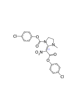 CN1CCN(C(=O)Oc2ccc(Cl)cc2)/C1=C(/C(=O)Oc1ccc(Cl)cc1)[N+](=O)[O-]